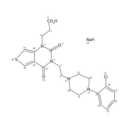 O=C(O)CCn1c(=O)n(CCN2CCN(c3ccccc3Cl)CC2)c(=O)c2cscc21.[NaH]